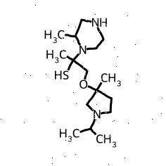 CC(C)N1CCC(C)(OCC(C)(S)N2CCNCC2C)C1